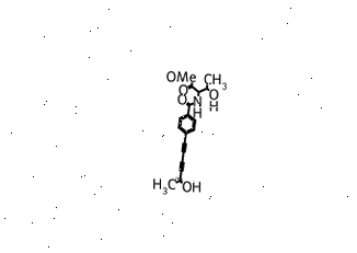 COC(=O)C(NC(=O)c1ccc(C#CC#C[C@H](C)O)cc1)C(C)O